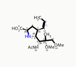 C/C=C\[C@@H]1C[C@H](C(=O)O)N[C@H]1[C@@H](NC(C)=O)[C@@](C)(COC)OC